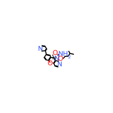 CC(C)CCCOc1nccc2c1[C@]1(COC(N)=N1)c1cc(-c3cccnc3)ccc1O2